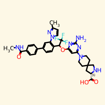 CNC(=O)c1ccc(-c2ccc(C(Oc3cc(N4CCC5(CC4)CN[C@H](C(=O)O)C5)nc(N)n3)C(F)(F)F)c(-n3ccc(C)n3)c2)cc1